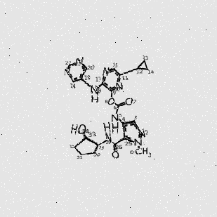 Cn1ncc(NC(=O)Oc2nc(C3CC3)cnc2Nc2cncnc2)c1C(=O)NC1CCCC1O